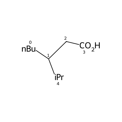 CCCCC(CC(=O)O)C(C)C